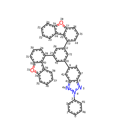 c1ccc(-n2nc3ccc(-c4cc(-c5cccc6oc7ccccc7c56)cc(-c5cccc6oc7ccccc7c56)c4)cc3n2)cc1